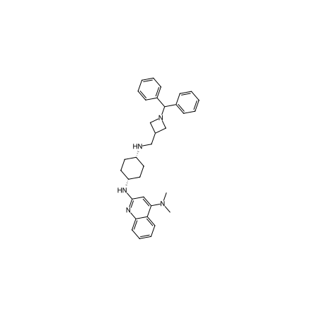 CN(C)c1cc(N[C@H]2CC[C@@H](NCC3CN(C(c4ccccc4)c4ccccc4)C3)CC2)nc2ccccc12